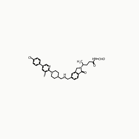 CC(CCC(=O)NC=O)N1Cc2cc(CNCC3CCN(c4ncc(-c5ccc(Cl)cc5)cc4F)CC3)ccc2C1=O